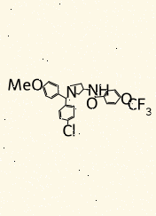 COc1ccc(C(c2ccc(Cl)cc2)N2CC[C@@H](NC(=O)c3ccc(OC(F)(F)F)cc3)C2)cc1